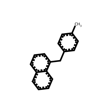 Cc1ccc(Cc2cccc3[c]cccc23)cc1